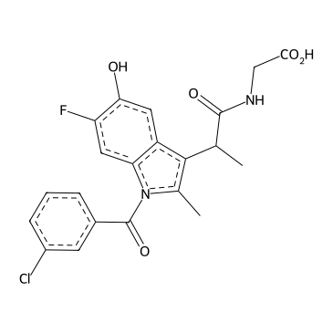 Cc1c(C(C)C(=O)NCC(=O)O)c2cc(O)c(F)cc2n1C(=O)c1cccc(Cl)c1